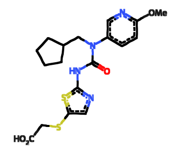 COc1ccc(N(CC2CCCC2)C(=O)Nc2ncc(SCC(=O)O)s2)cn1